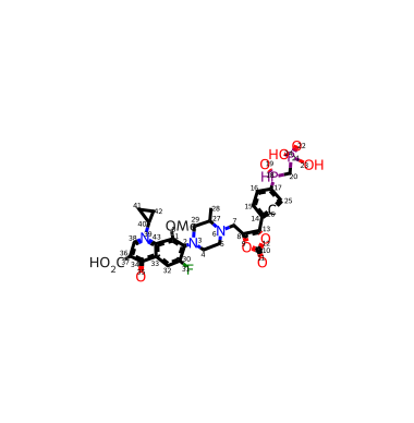 COc1c(N2CCN(Cc3oc(=O)oc3-c3ccc([PH](=O)CP(=O)(O)O)cc3)C(C)C2)c(F)cc2c(=O)c(C(=O)O)cn(C3CC3)c12